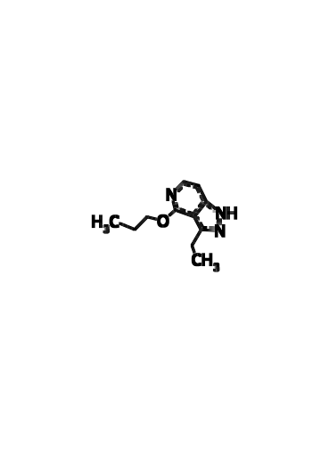 CCCOc1nccc2[nH]nc(CC)c12